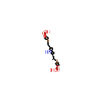 C/C(C#Cc1ccc2c(c1)[nH]c1cc(C#C/C=C/CSc3ccc(OCC(=O)O)c(C)c3)ccc12)=C\CSc1ccc(OCC(=O)O)c(C)c1